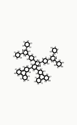 c1ccc(-c2cc(-c3ccc(-c4nc(-c5ccc(-c6cc(-c7ccccc7)nc(-c7ccccc7)n6)cc5)c5cc(-c6ccc7c8ccccc8c8ccccc8c7c6)cc(-c6ccc7c8ccccc8c8ccccc8c7c6)c5n4)cc3)nc(-c3ccccc3)n2)cc1